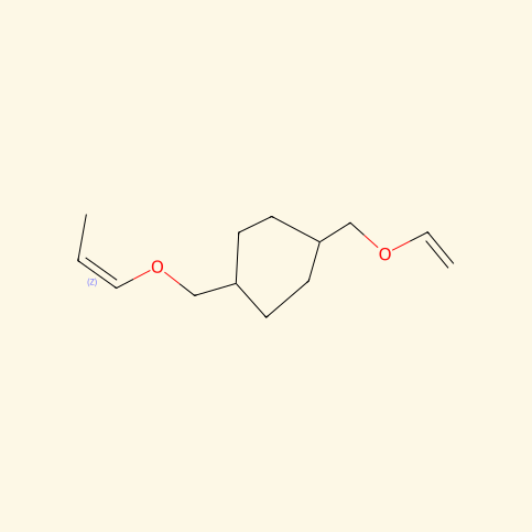 C=COCC1CCC(CO/C=C\C)CC1